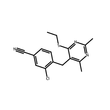 CCSc1nc(C)nc(C)c1Cc1ccc(C#N)cc1Cl